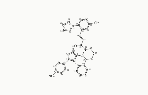 N#Cc1ccc(-c2c[nH]c(C3C(c4ccccc4)CCCN3C(=O)C=Cc3cc(Cl)ccc3-n3cnnn3)n2)cc1